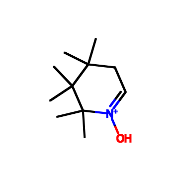 CC1(C)CC=[N+](O)C(C)(C)C1(C)C